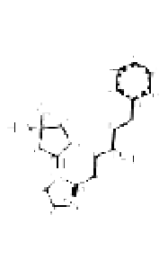 OC(CCC1=NCC[SH]1C1[CH]C(O)(O)CC1)CCc1ccccc1